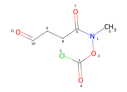 CN(OC(=O)Cl)C(=O)CCC=O